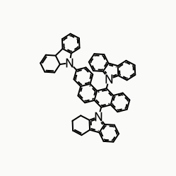 C1=CC2c3ccccc3N(c3ccc4c(ccc5c(-n6c7c(c8ccccc86)C=CCC7)c6ccccc6c(-n6c7ccccc7c7ccccc76)c54)c3)C2C=C1